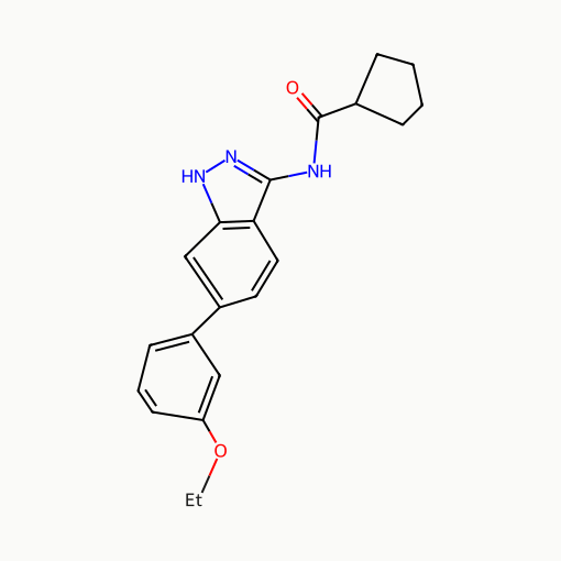 CCOc1cccc(-c2ccc3c(NC(=O)C4CCCC4)n[nH]c3c2)c1